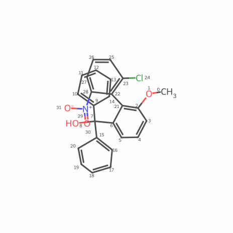 COc1cccc(C(O)(c2ccccc2)c2ccccc2)c1-c1c(Cl)cccc1[N+](=O)[O-]